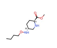 CCCCON[C@@H]1CC[C@@H](C(=O)OC)NC1